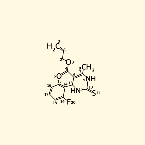 C=CCOC(=O)C1=C(C)NC(=S)NC1c1ccccc1F